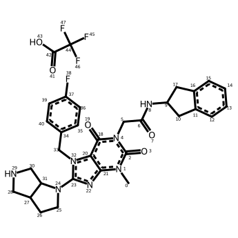 Cn1c(=O)n(CC(=O)NC2Cc3ccccc3C2)c(=O)c2c1nc(N1CCC3CNCC31)n2Cc1ccc(F)cc1.O=C(O)C(F)(F)F